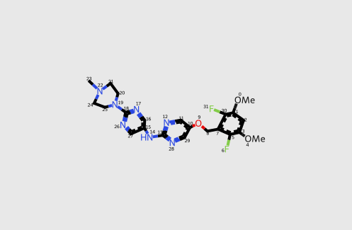 COc1cc(OC)c(F)c(COc2cnc(Nc3cnc(N4CCN(C)CC4)nc3)nc2)c1F